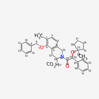 Cc1ccc2c(c1OCc1ccccc1)CC(C(=O)O)N(C(=O)[C@@H](OC1(C)CCCC1)c1ccccc1)C2